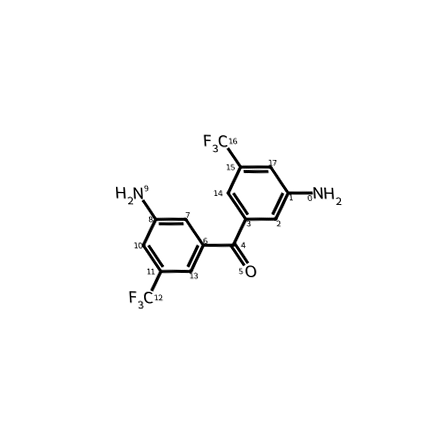 Nc1cc(C(=O)c2cc(N)cc(C(F)(F)F)c2)cc(C(F)(F)F)c1